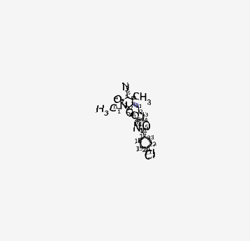 CCN1C(=O)C(C#N)=C(C)/C(=C/c2cc3oc(-c4ccc(Cl)cc4)nc3o2)C1=O